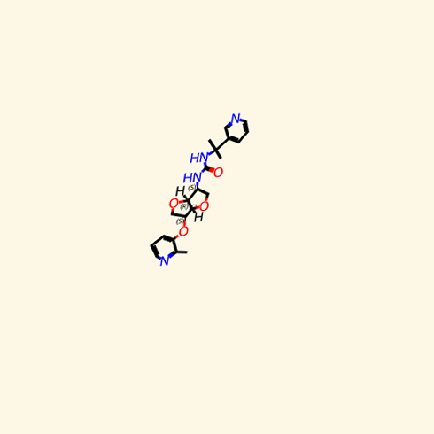 Cc1ncccc1O[C@H]1CO[C@H]2[C@@H]1OC[C@@H]2NC(=O)NC(C)(C)c1cccnc1